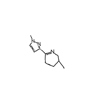 CC1CCC(c2ccn(C)n2)=NC1